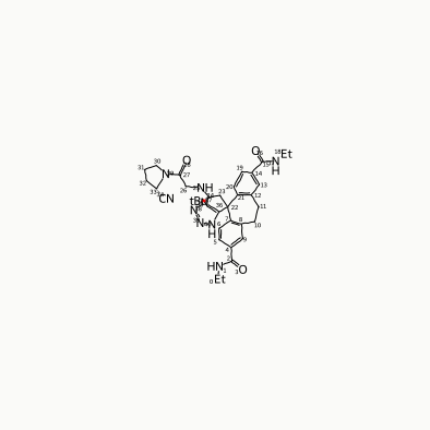 CCNC(=O)c1ccc2c(c1)CCc1cc(C(=O)NCC)ccc1C2(C[C@H](NCC(=O)N1CCC[C@H]1C#N)C(C)(C)C)c1nnn[nH]1